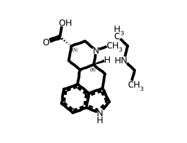 CCNCC.CN1C[C@@H](C(=O)O)CC2c3cccc4[nH]cc(c34)C[C@H]21